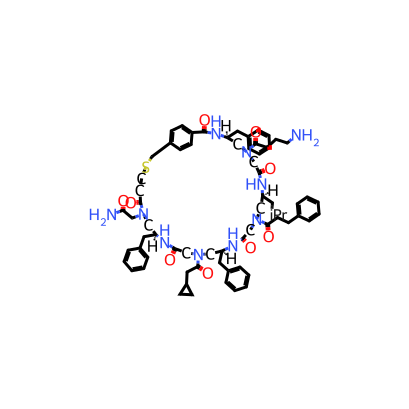 CC(C)C[C@H]1CN(C(=O)CCc2ccccc2)CC(=O)N[C@@H](Cc2ccccc2)CN(C(=O)CC2CC2)CC(=O)N[C@@H](Cc2ccccc2)CN(CC(N)=O)C(=O)CCSCc2ccc(cc2)C(=O)N[C@@H](Cc2ccccc2)CN(C(=O)CCCN)CC(=O)N1